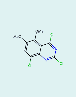 COc1cc(Cl)c2nc(Cl)nc(Cl)c2c1OC